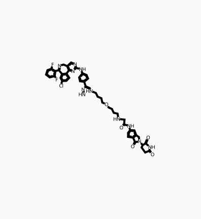 N=N/C(=C\NCCCCOCCCCNCC(=O)Nc1ccc2c(c1)CN(C1CCC(=O)NC1=O)C2=O)c1ccc(Nc2ncc3c(n2)-c2ccc(Cl)cc2C(c2c(F)cccc2F)=NC3)cc1